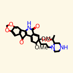 COC1C=c2c3c([nH]c(=O)c2=CC1(CCCN1CCNCC1C(C)O)OC)-c1cc2c(cc1C3=O)OCO2